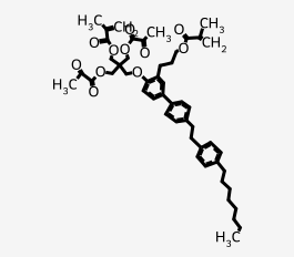 C=C(C)C(=O)OCCCc1cc(-c2ccc(CCc3ccc(CCCCCCCC)cc3)cc2)ccc1OCC(COC(=O)C(=C)C)(COC(=O)C(C)=O)COC(=O)C(C)=O